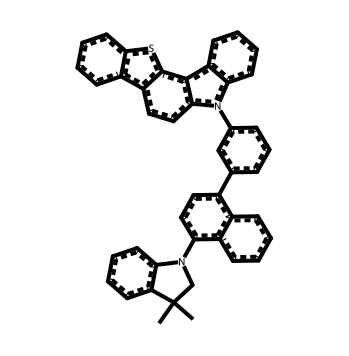 CC1(C)CN(c2ccc(-c3cccc(-n4c5ccccc5c5c6sc7ccccc7c6ccc54)c3)c3ccccc23)c2ccccc21